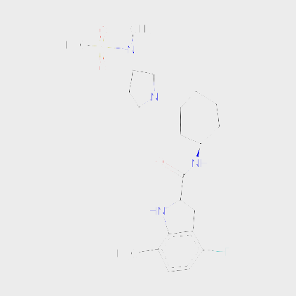 Cc1ccc(F)c2c1NC(C(=O)N[C@@H]1CCC[C@@H](N3CC[C@H](N(C)S(C)(=O)=O)C3)C1)C2